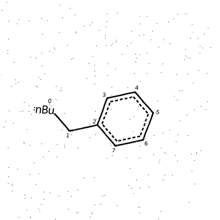 CCC[C]Cc1ccccc1